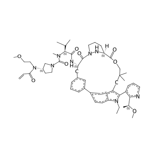 C=CC(=O)N(CCOC)[C@H]1CCN(C(=O)N(C)[C@H](C(=O)N[C@H]2Cc3cccc(c3)-c3ccc4c(c3)c(c(-c3cccnc3[C@H](C)OC)n4CC)CC(C)(C)COC(=O)[C@@H]3CCCN(N3)C2=O)C(C)C)C1